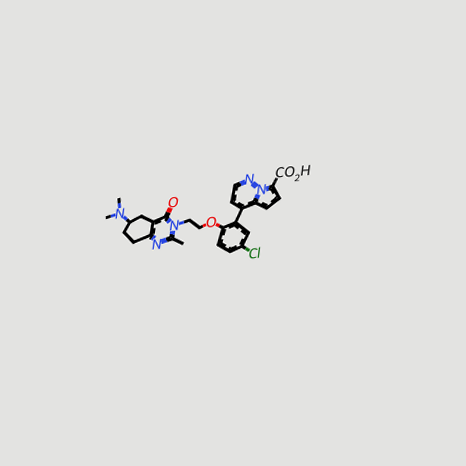 Cc1nc2c(c(=O)n1CCOc1ccc(Cl)cc1-c1ccnn3c(C(=O)O)ccc13)CC(N(C)C)CC2